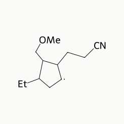 [CH2]CC1C[CH]C(CCC#N)C1COC